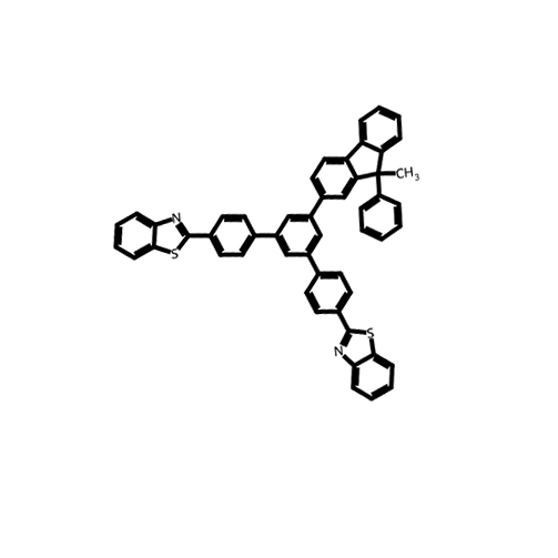 CC1(c2ccccc2)c2ccccc2-c2ccc(-c3cc(-c4ccc(-c5nc6ccccc6s5)cc4)cc(-c4ccc(-c5nc6ccccc6s5)cc4)c3)cc21